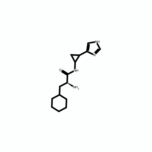 N[C@@H](CC1CCCCC1)C(=O)NC1CC1c1c[nH]cn1